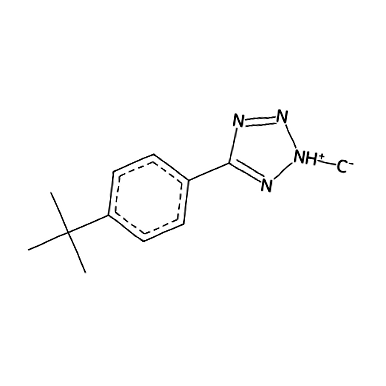 [CH2-][NH+]1N=NC(c2ccc(C(C)(C)C)cc2)=N1